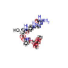 CCOP(=O)(OCC)OCC(COC(=O)c1ccccc1NC(=O)OC(=O)CC[C@@H](NC(=O)c1ccc(NCc2cnc3nc(N)[nH]c(=O)c3n2)cc1)C(=O)O)OP(=O)(OCC)OCC